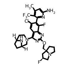 Cc1cc(N)nc(-c2c(Cl)cc3c(N4CC[C@H]5CC[C@@H](C4)N5)nc(OC[C@@]45CCCN4C[C@@H](F)C5)nc3c2F)c1C(F)(F)F